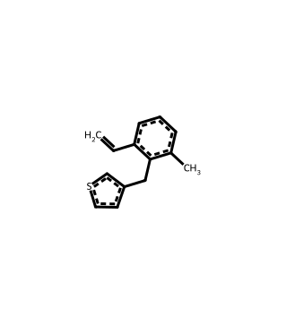 C=Cc1cccc(C)c1Cc1ccsc1